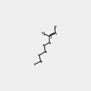 CC=C(I)CCCCCC